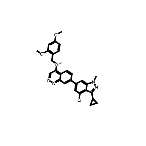 COc1ccc(CNc2cnnc3cc(-c4cc(Cl)c5c(C6CC6)nn(C)c5c4)ccc23)c(OC)c1